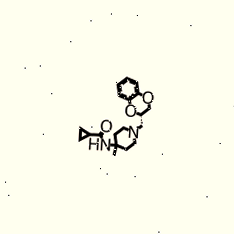 CC1(NC(=O)C2CC2)CCN(C[C@H]2COc3ccccc3O2)CC1